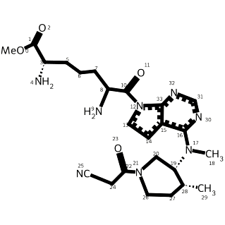 COC(=O)[C@@H](N)CCCC(N)C(=O)n1ccc2c(N(C)[C@H]3CN(C(=O)CC#N)CC[C@H]3C)ncnc21